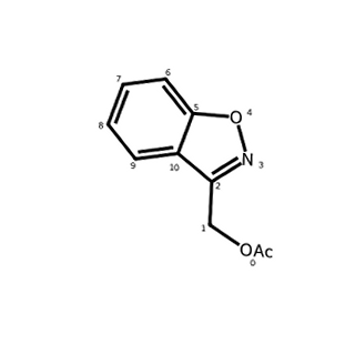 CC(=O)OCc1noc2ccccc12